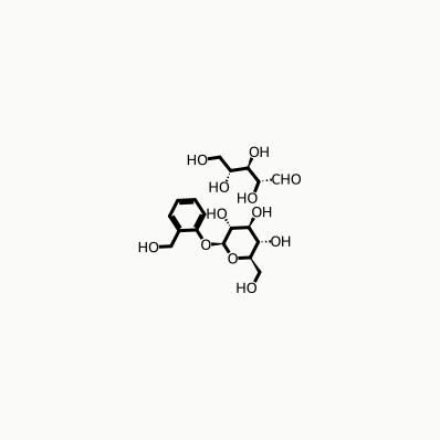 O=C[C@H](O)[C@H](O)[C@H](O)CO.OCc1ccccc1O[C@@H]1O[C@H](CO)[C@@H](O)[C@H](O)[C@H]1O